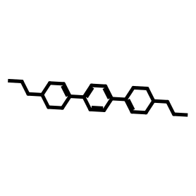 CCCC1CC=C(c2ccc(C3=CCC(CCC)CC3)cc2)CC1